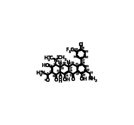 CN(C)[C@@H]1C(O)=C(C(N)=O)C(=O)[C@@]2(O)C(O)=C3C(=O)c4c(O)c(CN)cc(-c5ccc(Cl)c(C(F)(F)F)c5)c4C[C@H]3C[C@@H]12